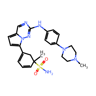 CN1CCN(c2ccc(Nc3ncc4ccc(C5=CC=CC(C)(S(N)(=O)=O)C5)n4n3)cc2)CC1